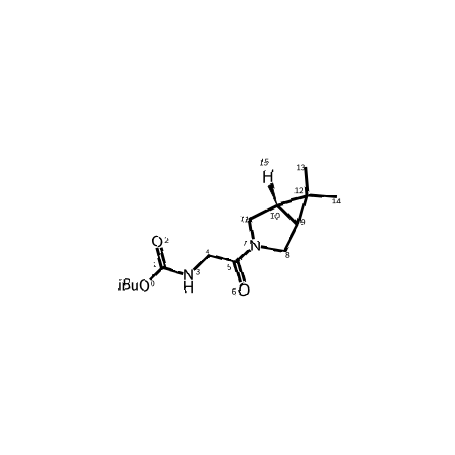 CC(C)COC(=O)NCC(=O)N1CC2[C@H](C1)C2(C)C